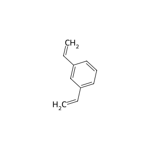 C=Cc1cccc(C=C)c1